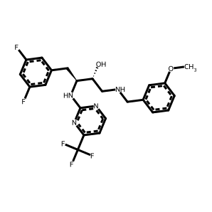 COc1cccc(CNC[C@@H](O)[C@H](Cc2cc(F)cc(F)c2)Nc2nccc(C(F)(F)F)n2)c1